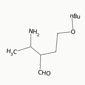 CCCCOCCC(C=O)C(C)N